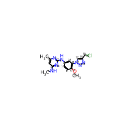 CNc1cc(C)nc(Nc2ccc(OC)c(-n3cc(CCl)nn3)c2)n1